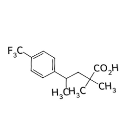 CC(CC(C)(C)C(=O)O)c1ccc(C(F)(F)F)cc1